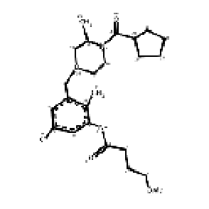 COCCCC(=O)Nc1cc(Cl)cc(CN2CCN(C(=O)C3CCCC3)C(C)C2)c1C